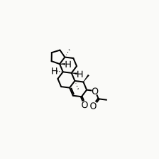 CC(=O)OC1C(=O)C=C2CC[C@H]3[C@@H]4CCC[C@@]4(C)CC[C@@H]3[C@@]2(C)[C@H]1C